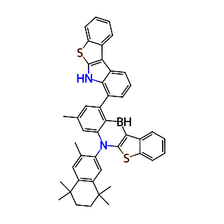 Cc1cc(-c2cccc3c2[nH]c2sc4ccccc4c23)c2c(c1)N(c1cc3c(cc1C)C(C)(C)CCC3(C)C)c1sc3ccccc3c1B2